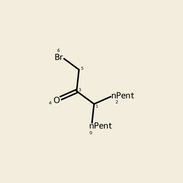 CCCCCC(CCCCC)C(=O)CBr